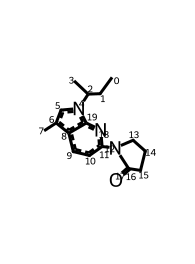 CCC(C)n1cc(C)c2ccc(N3CCCC3=O)nc21